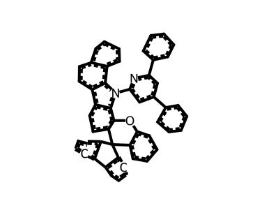 c1ccc(-c2cc(-c3ccccc3)nc(-n3c4c5c(ccc4c4ccc6ccccc6c43)C3(c4ccccc4O5)c4ccccc4-c4ccccc43)c2)cc1